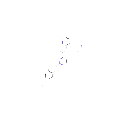 COc1ccc2c(c1)CN(c1nccc(C(=O)Nc3cnccc3N3CCNCC3)n1)CC2